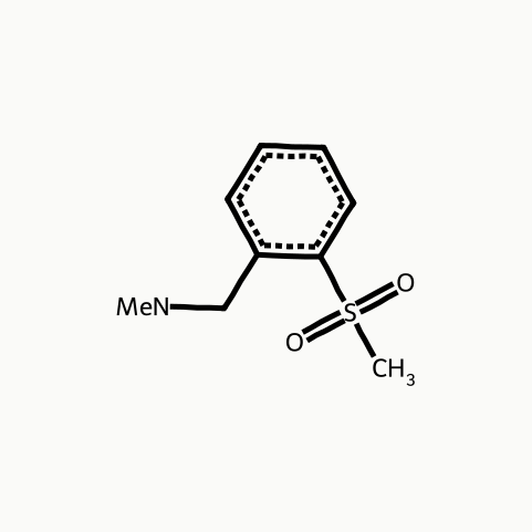 CNCc1ccccc1S(C)(=O)=O